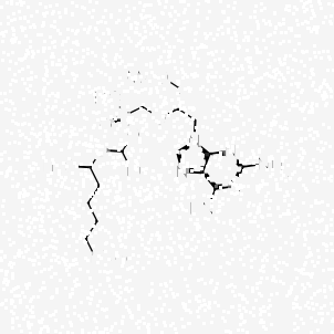 CCCCCCCCCCCCCCC(C)OC(CC)OP(=O)(O)CO[C@H](COC)Cn1cnc2c(N)nc(N)nc21